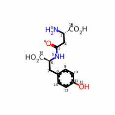 N[C@@H](CC(=O)N[C@@H](Cc1ccc(O)cc1)C(=O)O)C(=O)O